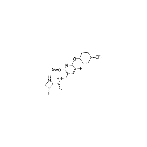 COc1nc(OC2CCC(C(F)(F)F)CC2)c(F)cc1CNC(=O)[C@H]1NC[C@@H]1C